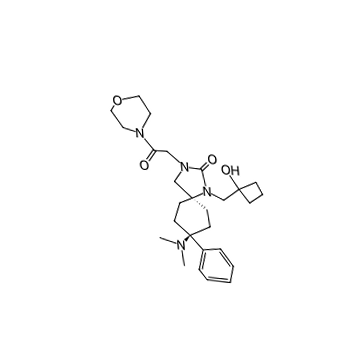 CN(C)[C@]1(c2ccccc2)CC[C@]2(CC1)CN(CC(=O)N1CCOCC1)C(=O)N2CC1(O)CCC1